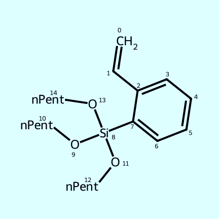 C=Cc1ccccc1[Si](OCCCCC)(OCCCCC)OCCCCC